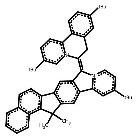 CC(C)(C)c1ccc2c(c1)C/C(=C1/c3cc4c(cc3-c3cc(C(C)(C)C)cc[n+]31)C(C)(C)c1c-4ccc3ccccc13)[n+]1cc(C(C)(C)C)ccc1-2